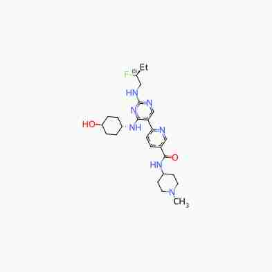 CC[C@H](F)CNc1ncc(-c2ccc(C(=O)NC3CCN(C)CC3)cn2)c(N[C@H]2CC[C@H](O)CC2)n1